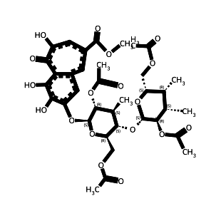 COC(=O)c1cc(O)c(=O)c2c(O)c(O)c(O[C@@H]3O[C@H](COC(C)=O)[C@@H](O[C@@H]4O[C@H](COC(C)=O)[C@H](C)[C@H](C)[C@H]4OC(C)=O)[C@H](C)[C@H]3OC(C)=O)cc2c1